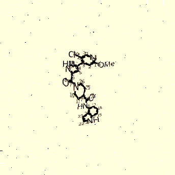 COc1cc(-c2cc(C(=O)N3CCC(C(=O)Nc4cccc5[nH]ccc45)CC3)n[nH]2)c(Cl)cn1